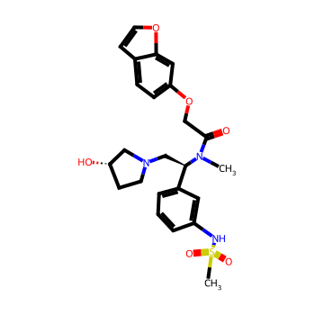 CN(C(=O)COc1ccc2ccoc2c1)[C@H](CN1CC[C@H](O)C1)c1cccc(NS(C)(=O)=O)c1